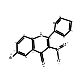 O=c1c([N+](=O)[O-])c(-c2ccccc2)oc2ccc(Br)cc12